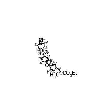 CCOC(=O)C(C)=Cc1cc(F)c(Oc2ccc(S(=O)(=O)N3CCN(C)CC3)cc2)c(F)c1